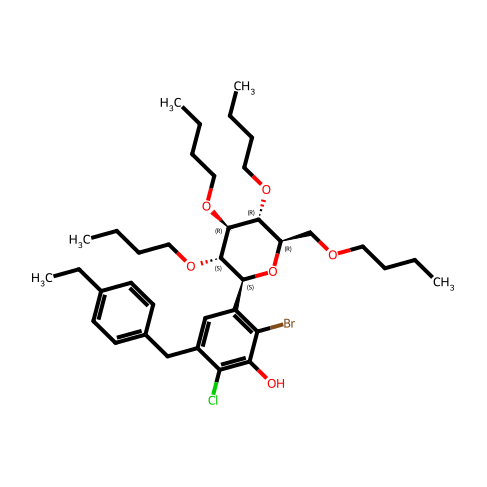 CCCCOC[C@H]1O[C@@H](c2cc(Cc3ccc(CC)cc3)c(Cl)c(O)c2Br)[C@H](OCCCC)[C@@H](OCCCC)[C@@H]1OCCCC